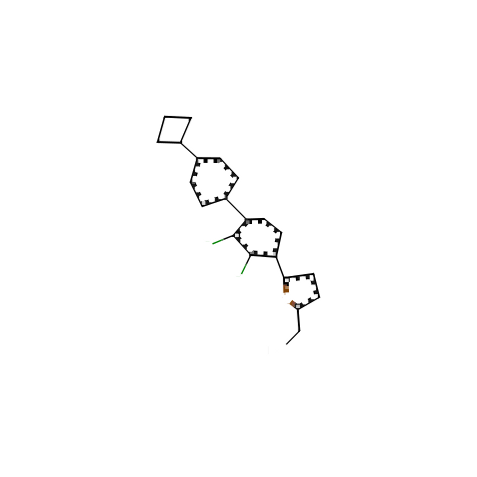 CCc1ccc(-c2ccc(-c3ccc(C4CCC4)cc3)c(F)c2F)s1